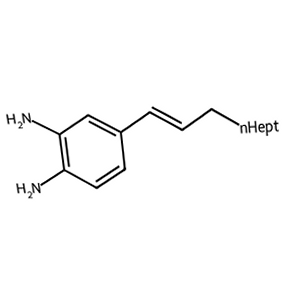 CCCCCCCCC=Cc1ccc(N)c(N)c1